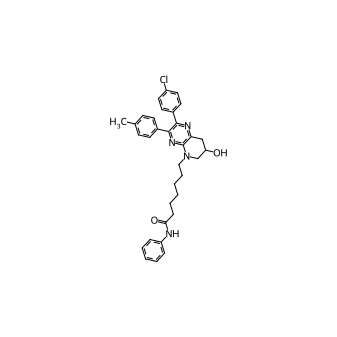 Cc1ccc(-c2nc3c(nc2-c2ccc(Cl)cc2)CC(O)CN3CCCCCCC(=O)Nc2ccccc2)cc1